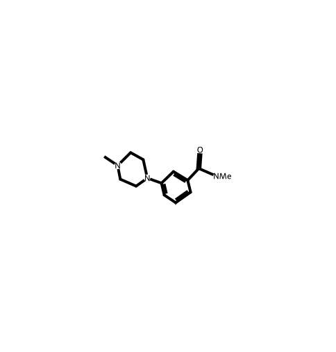 CNC(=O)c1c[c]cc(N2CCN(C)CC2)c1